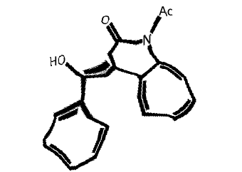 CC(=O)N1C(=O)/C(=C(\O)c2ccccc2)c2ccccc21